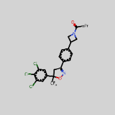 CCCC(=O)N1CC(c2ccc(C3=NOC(c4cc(Cl)c(Cl)c(Cl)c4)(C(F)(F)F)C3)cc2)C1